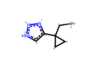 C[C](C)CC1(c2c[nH]nn2)CC1